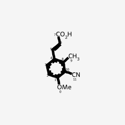 COc1ccc(C=CC(=O)O)c(C)c1C#N